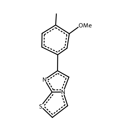 COc1cc(-c2cn3ccsc3n2)ccc1C